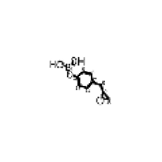 OB(O)Oc1ccc(CC2CO2)cc1